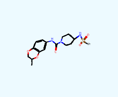 CC1COc2ccc(NC(=O)N3CCC(NS(=O)(=O)C(C)C)CC3)cc2O1